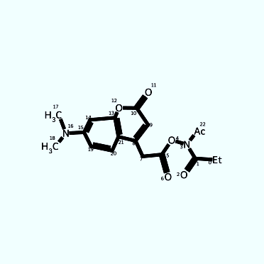 CCC(=O)N(OC(=O)Cc1cc(=O)oc2cc(N(C)C)ccc12)C(C)=O